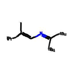 CCCC/C(=N\C=C(/C)C(C)C)C(C)(C)C